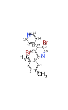 Cc1ccc(C)c(-c2ncc(Br)c(-c3ccncc3)c2Br)c1